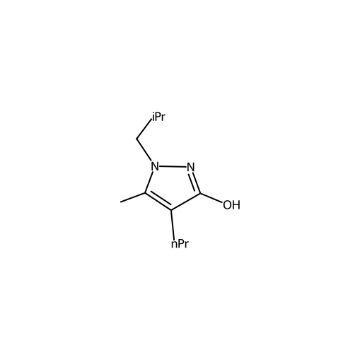 CCCc1c(O)nn(CC(C)C)c1C